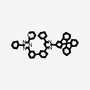 c1ccc(-c2cc(-c3cccc(-c4cccc(-c5nc(-c6ccccc6)nc(-c6ccccc6)n5)c4)c3)nc(-c3ccc4c(c3)-c3ccccc3C43c4ccccc4-c4ccccc43)n2)cc1